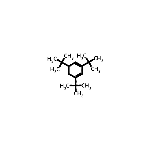 CC(C)(C)[C]1C=C(C(C)(C)C)C=C(C(C)(C)C)C1